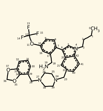 CCCCn1cc(-c2ccc(OC(F)(F)F)cc2CN)c2cc(CN3CCN(Cc4cccc5c4OCO5)CC3)ccc21